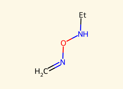 C=NONCC